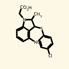 CC1C(Sc2ccc(Cl)cc2)c2c(cccc2[N+](=O)[O-])N1CC(=O)O